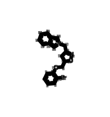 Brc1ccccc1OCC1CC(Cn2cc3ccccc3c2)=NO1